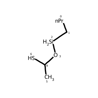 CCCC[SiH2]OC(C)S